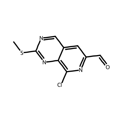 CSc1ncc2cc(C=O)nc(Cl)c2n1